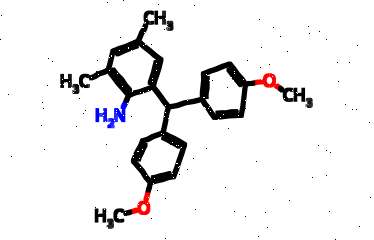 COc1ccc(C(c2ccc(OC)cc2)c2cc(C)cc(C)c2N)cc1